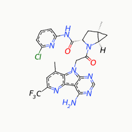 Cc1cc(C(F)(F)F)nc2c3c(N)ncnc3n(CC(=O)N3[C@H](C(=O)Nc4cccc(Cl)n4)C[C@@]4(C)C[C@@H]34)c12